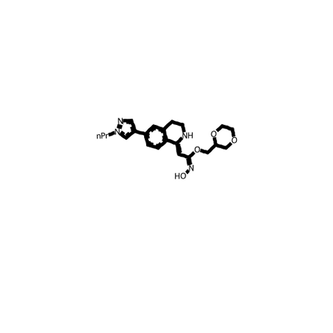 CCCn1cc(-c2ccc3c(c2)CCN/C3=C\C(=N/O)OCC2COCCO2)cn1